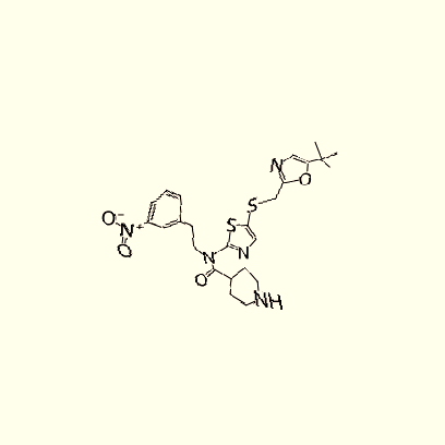 CC(C)(C)c1cnc(CSc2cnc(N(CCc3cccc([N+](=O)[O-])c3)C(=O)C3CCNCC3)s2)o1